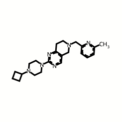 Cc1cccc(CN2CCc3nc(N4CCN(C5CCC5)CC4)ncc3C2)n1